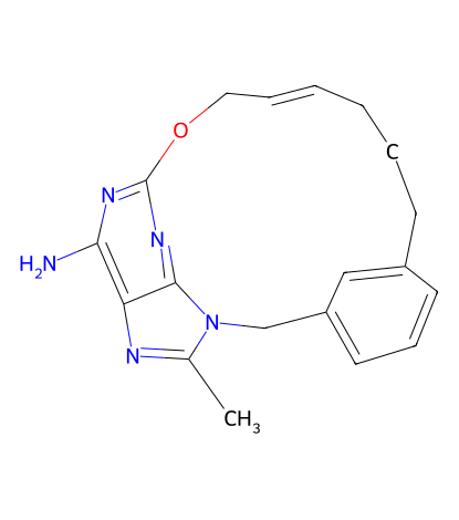 Cc1nc2c(N)nc3nc2n1Cc1cccc(c1)CCC/C=C/CO3